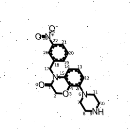 O=C1COc2c(N3CCNCC3)cccc2N1Cc1cccc([N+](=O)[O-])c1